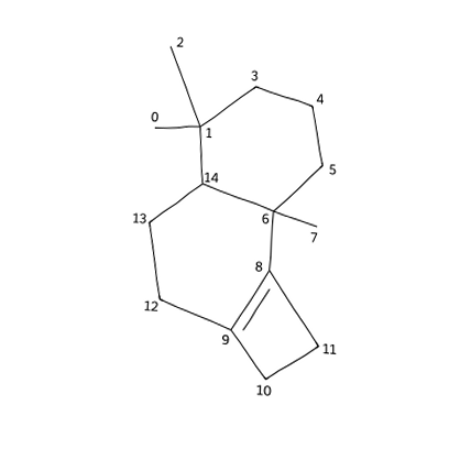 CC1(C)CCCC2(C)C3=C(CC3)CCC12